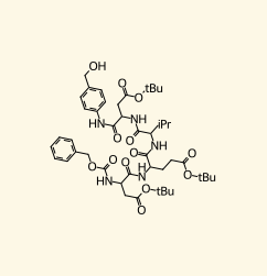 CC(C)C(NC(=O)C(CCC(=O)OC(C)(C)C)NC(=O)C(CC(=O)OC(C)(C)C)NC(=O)OCc1ccccc1)C(=O)NC(CC(=O)OC(C)(C)C)C(=O)Nc1ccc(CO)cc1